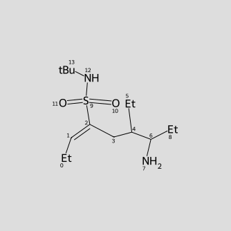 CC/C=C(\CC(CC)C(N)CC)S(=O)(=O)NC(C)(C)C